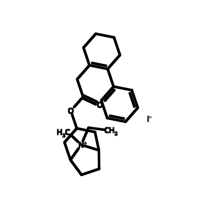 CC[N+]1(C)C2CCC1CC(OC(=O)CC1=C(c3ccccc3)CCCC1)C2.[I-]